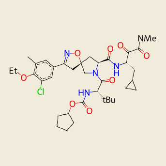 CCOc1c(C)cc(C2=NO[C@]3(C2)C[C@@H](C(=O)N[C@@H](CC2CC2)C(=O)C(=O)NC)N(C(=O)[C@@H](NC(=O)OC2CCCC2)C(C)(C)C)C3)cc1Cl